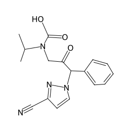 CC(C)N(CC(=O)C(c1ccccc1)n1ccc(C#N)n1)C(=O)O